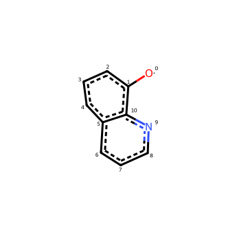 [O]c1cccc2cccnc12